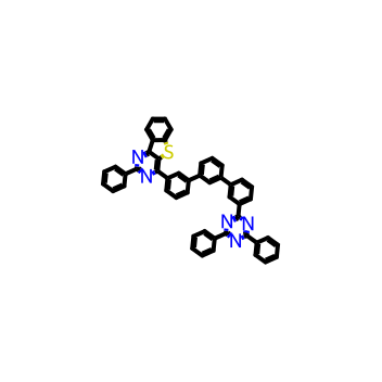 c1ccc(-c2nc(-c3ccccc3)nc(-c3cccc(-c4cccc(-c5cccc(-c6nc(-c7ccccc7)nc7c6sc6ccccc67)c5)c4)c3)n2)cc1